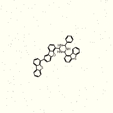 c1ccc(C2NC(c3cccc4c3oc3ccc(-c5cccc6c5sc5ccccc56)cc34)NC(c3cccc4sc5ccccc5c34)N2)cc1